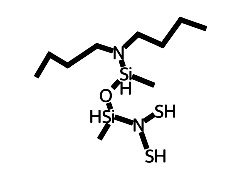 CCCCN(CCCC)[SiH](C)O[SiH](C)N(S)S